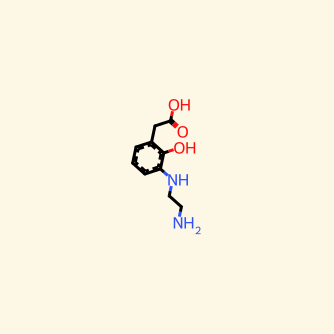 NCCNc1cccc(CC(=O)O)c1O